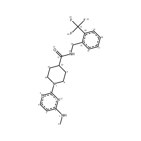 CNc1ccnc(N2CCC(C(=O)NCc3ccccc3C(F)(F)F)CC2)n1